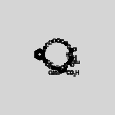 CO[C@@]12C[C@@H](C(=O)O)N(C1)C(=O)[C@H](C(C)(C)C)NC(=O)OCCCCCCCc1ccccc1-c1ccc2cc1